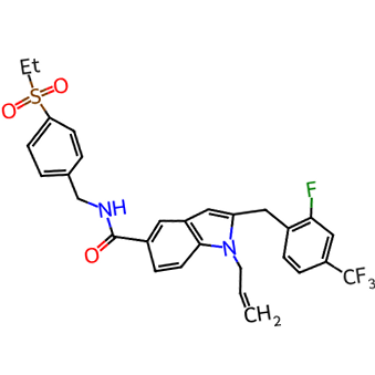 C=CCn1c(Cc2ccc(C(F)(F)F)cc2F)cc2cc(C(=O)NCc3ccc(S(=O)(=O)CC)cc3)ccc21